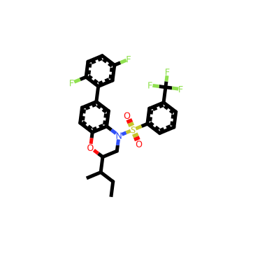 CCC(C)C1CN(S(=O)(=O)c2cccc(C(F)(F)F)c2)c2cc(-c3cc(F)ccc3F)ccc2O1